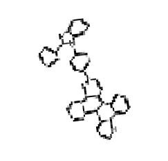 c1ccc(-c2nc3ccccc3n2-c2ccc(-c3ccc4c(n3)c3ccccc3c3c5cccnc5c5ccccc5c43)cc2)cc1